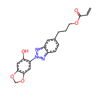 C=CC(=O)OCCCc1ccc2nn(-c3cc4c(cc3O)OCO4)nc2c1